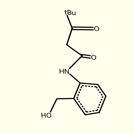 CC(C)(C)C(=O)CC(=O)Nc1ccccc1CO